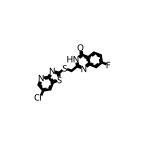 O=c1[nH]c(CSc2nc3ncc(Cl)cc3s2)nc2cc(F)ccc12